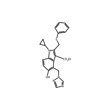 CCOC(=O)c1c(CSc2ccccc2)n(C2CC2)c2ccc(O)c(Cn3cncn3)c12